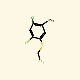 CNc1cc(SCC(F)(F)F)c(F)cc1Cl